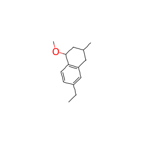 CCc1ccc2c(c1)CC(C)CC2OC